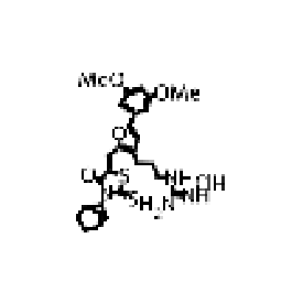 COc1cc(OC)cc(-c2cc(CCCNC(=N)N)c(C=C3SC(=S)N(C4CC5CCC4C5)C3=O)o2)c1.Cl